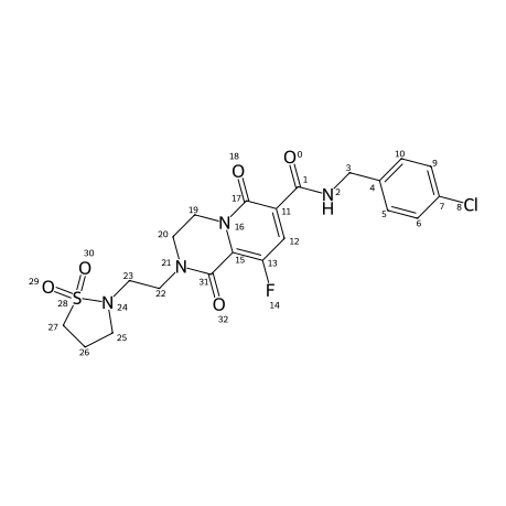 O=C(NCc1ccc(Cl)cc1)c1cc(F)c2n(c1=O)CCN(CCN1CCCS1(=O)=O)C2=O